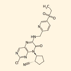 CCS(=O)(=O)c1ccc(CNc2nc3cnc(Cl)nc3n([C@H]3CCC[C@@H]3C#N)c2=O)nc1